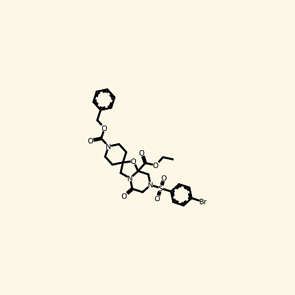 CCOC(=O)C12CN(S(=O)(=O)c3ccc(Br)cc3)CC(=O)N1CC1(CCN(C(=O)OCc3ccccc3)CC1)O2